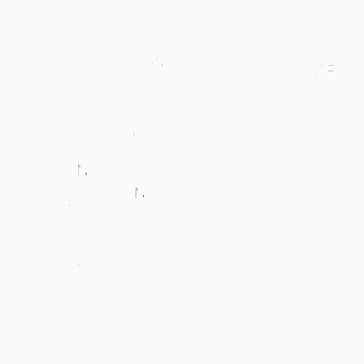 Cn1c(SCC(=O)c2ccc(C(F)(F)F)cc2)nc2c(c1=O)C1(CCCC1)Cc1ccccc1-2